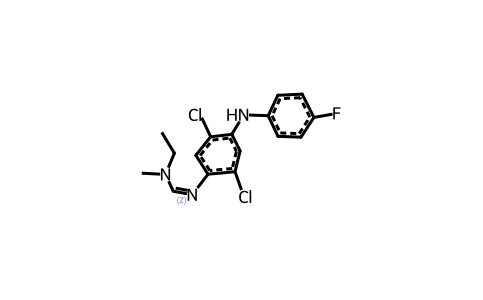 CCN(C)/C=N\c1cc(Cl)c(Nc2ccc(F)cc2)cc1Cl